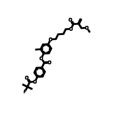 C=C(COC)C(=O)OCCCCOc1ccc(OC(=O)c2ccc(OC(=O)C(C)(C)F)cc2)c(C)c1